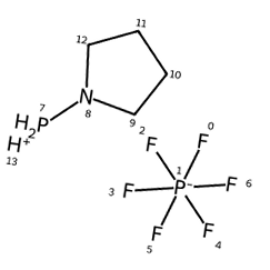 F[P-](F)(F)(F)(F)F.PN1CCCC1.[H+]